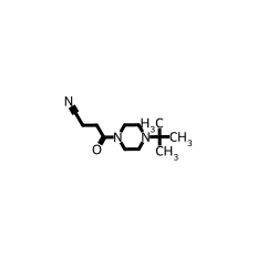 CC(C)(C)N1CCN(C(=O)CCC#N)CC1